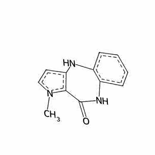 Cn1ccc2c1C(=O)Nc1ccccc1N2